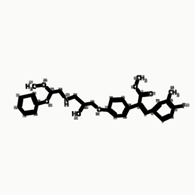 COC(=O)C(=Cc1ccc(F)c(C)c1)c1ccc(OCC(O)CNCC(OC)Oc2ccccc2)cc1